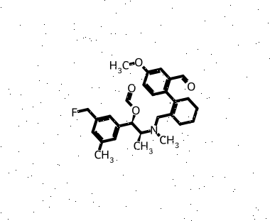 COc1ccc(C2=C(CN(C)[C@@H](C)[C@H](OC=O)c3cc(C)cc(CF)c3)CCCC2)c(C=O)c1